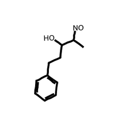 CC(N=O)C(O)CCc1ccccc1